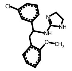 COc1ccccc1CC(NC1=NCCN1)c1cccc(Cl)c1